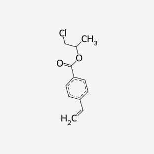 C=Cc1ccc(C(=O)OC(C)CCl)cc1